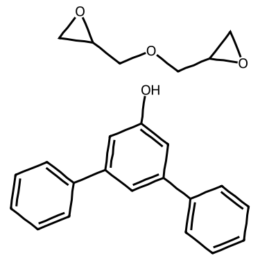 C(OCC1CO1)C1CO1.Oc1cc(-c2ccccc2)cc(-c2ccccc2)c1